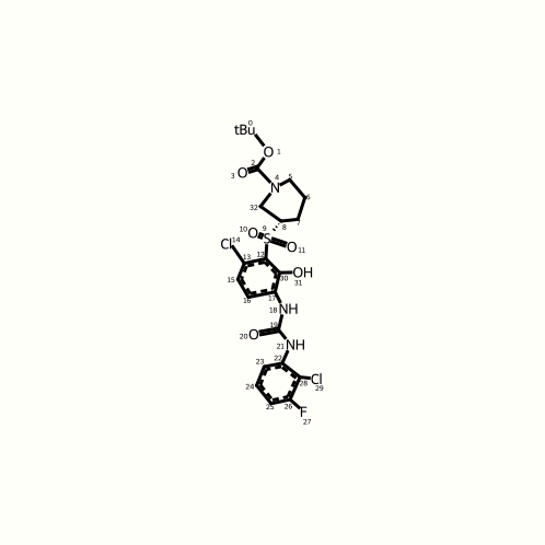 CC(C)(C)OC(=O)N1CCC[C@H](S(=O)(=O)c2c(Cl)ccc(NC(=O)Nc3cccc(F)c3Cl)c2O)C1